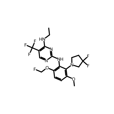 CCNc1nc(Nc2c(OCF)c[c]c(OC)c2N2CCC(F)(F)C2)ncc1C(F)(F)F